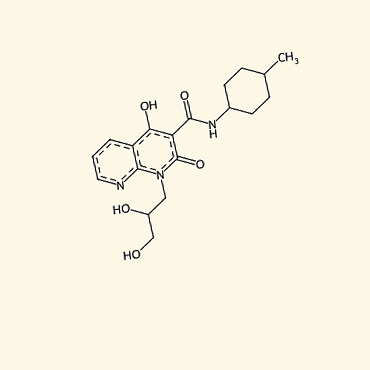 CC1CCC(NC(=O)c2c(O)c3cccnc3n(CC(O)CO)c2=O)CC1